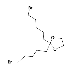 BrCCCCCC1(CCCCCBr)OCCO1